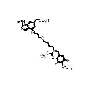 CC(C)(C)OC(=O)N(CCCCOCCNc1cc(CC(=O)O)cc2c1cnn2PI)Cc1cc(F)c(OC(F)(F)F)c(F)c1